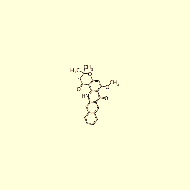 COc1cc2c(c3[nH]c4cc5ccccc5cc4c(=O)c13)C(=O)[CH]C(C)(C)O2